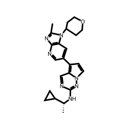 Cc1nc2ncc(-c3ccn4nc(N[C@H](C)C5CC5)ncc34)cc2n1C1CCOCC1